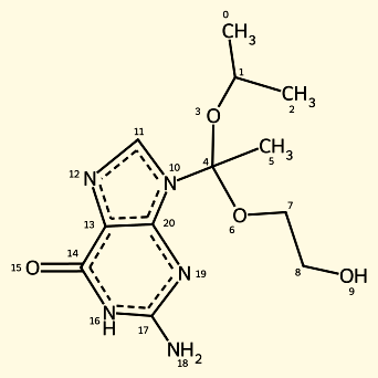 CC(C)OC(C)(OCCO)n1cnc2c(=O)[nH]c(N)nc21